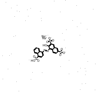 O=S(=O)([O-])c1ccc2c(N=Nc3ccc(S(=O)(=O)O)c4ccccc34)c(O)c(S(=O)(=O)[O-])cc2c1.[Na+].[Na+]